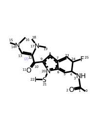 CC(=O)NC1C=c2c(cc(C(=O)/C(=C/N(C)C)N(C)C)n2SI)=CC1F